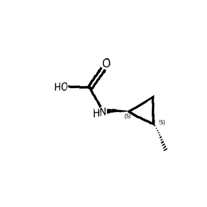 C[C@H]1C[C@@H]1NC(=O)O